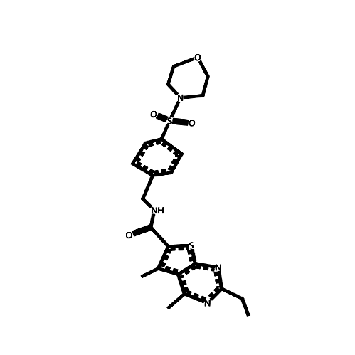 CCc1nc(C)c2c(C)c(C(=O)NCc3ccc(S(=O)(=O)N4CCOCC4)cc3)sc2n1